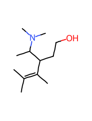 CC(C)=C(C)C(CCO)C(C)N(C)C